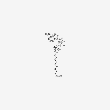 CCCCCCCCCCCCCCCCCCCCOP(=O)(O)OC[C@]1(C)CC[C@H](c2ccc3c(N)ncnn23)O1